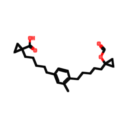 Cc1cc(CCCCCC2(C(=O)O)CC2)ccc1CCCCCC1(OC=O)CC1